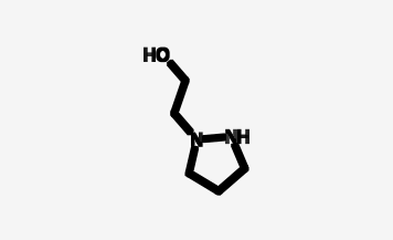 OCCN1CCCN1